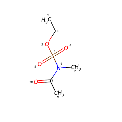 CCOS(=O)(=O)N(C)C(C)=O